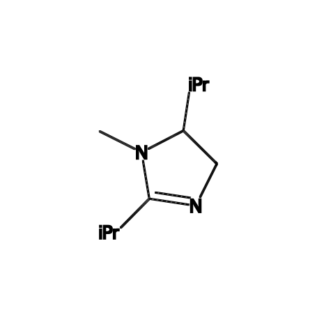 CC(C)C1=NCC(C(C)C)N1C